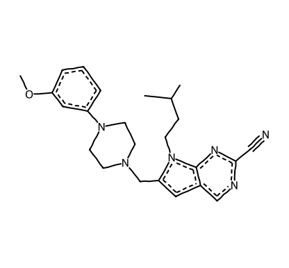 COc1cccc(N2CCN(Cc3cc4cnc(C#N)nc4n3CCC(C)C)CC2)c1